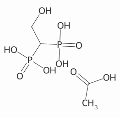 CC(=O)O.O=P(O)(O)C(CO)P(=O)(O)O